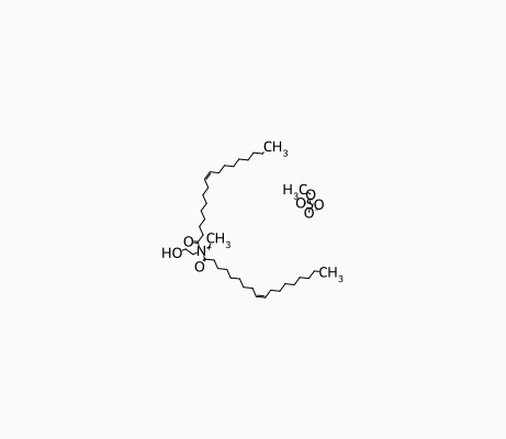 CCCCCCCC/C=C\CCCCCCCC(=O)[N+](CC)(CCO)C(=O)CCCCCCC/C=C\CCCCCCCC.COS(=O)(=O)[O-]